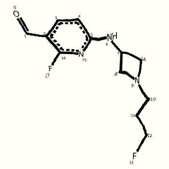 O=Cc1ccc(NC2CN(CCCF)C2)nc1F